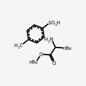 CCCCOC(=O)C(N)CCCC.Cc1ccc(S(=O)(=O)O)cc1